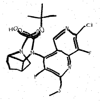 CSc1nc2c(F)c(Cl)ncc2c(N(C(=O)OC(C)(C)C)C2C3CC2N(C(=O)O)C3)c1I